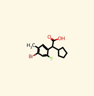 Cc1cc(C(C(=O)O)C2CCCC2)c(F)cc1Br